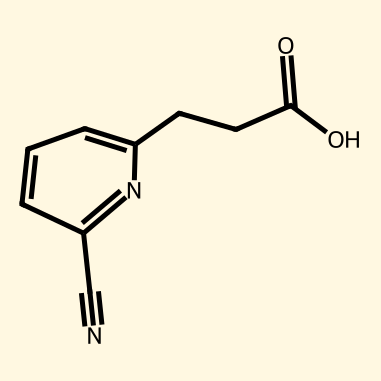 N#Cc1cccc(CCC(=O)O)n1